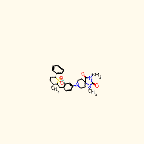 C[C@H]1CC[C@H](c2ccccc2)S(=O)(=O)C1Cc1ccc(N2CCC3(CC2)C(=O)N(C)C(=O)N3C)cc1F